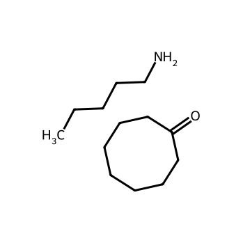 CCCCCN.O=C1CCCCCCC1